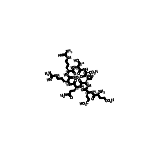 CSCC[C@H](NC(=O)[C@H](CCC(=O)O)NC(=O)[C@@H](N)CCC(=O)O)C(=O)N[C@@H](CCC(N)=O)C(=O)N[C@@H](CCCNC(=N)N)C(=O)N[C@@H](CCCNC(=N)N)C(=O)N[C@H](C(=O)N[C@@H](CC(=O)O)C(=O)O)[C@@H](C)O